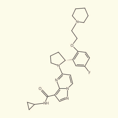 O=C(NC1CC1)c1cnn2ccc(N3CCC[C@@H]3c3cc(F)ccc3OCCN3CCCCC3)nc12